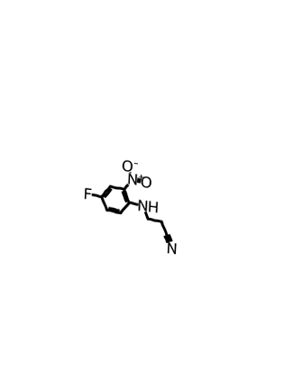 N#CCCNc1ccc(F)cc1[N+](=O)[O-]